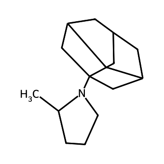 CC1CCCN1C12CC3CC(CC(C3)C1)C2